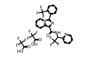 O=C(NC(c1ccccn1)C(F)(F)F)c1nc(-c2ccccc2C(F)(F)F)n2ccccc12.O=C(O)C(F)(F)F.O=C(O)C(F)(F)F